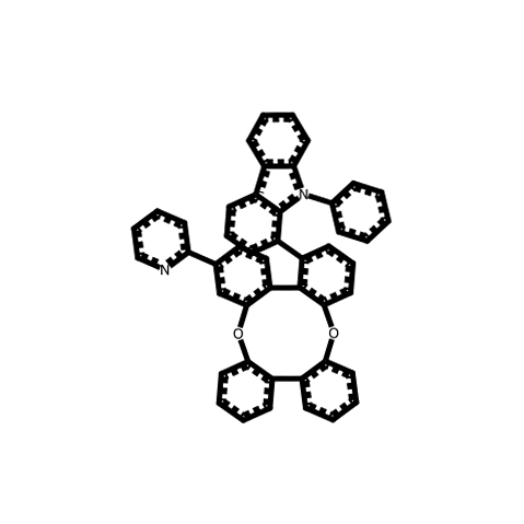 c1ccc(-n2c3ccccc3c3cccc(-c4cccc5c4-c4ccc(-c6ccccn6)cc4Oc4ccccc4-c4ccccc4O5)c32)cc1